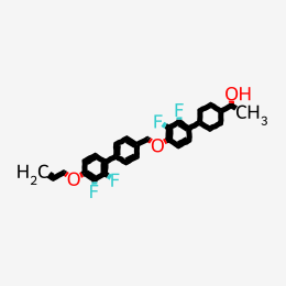 C=CCOc1ccc(-c2ccc(COc3ccc(C4CCC(C(C)O)CC4)c(F)c3F)cc2)c(F)c1F